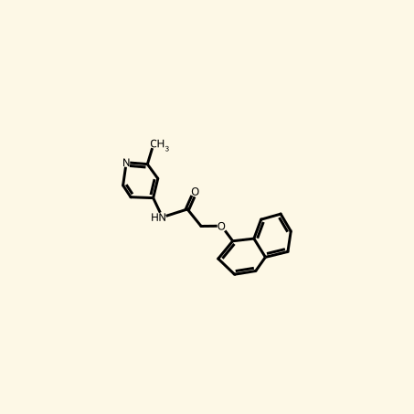 Cc1cc(NC(=O)COc2cccc3ccccc23)ccn1